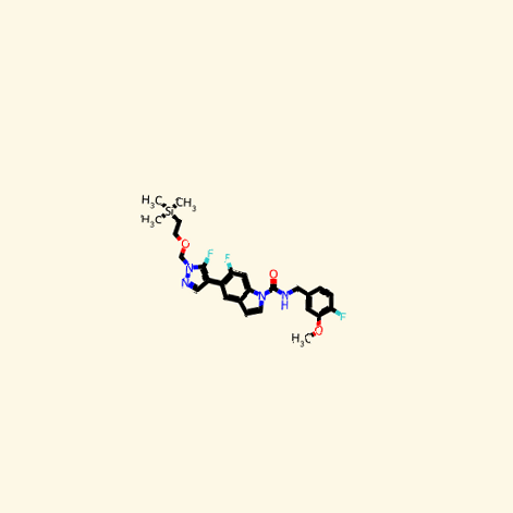 COc1cc(CNC(=O)n2ccc3cc(-c4cnn(COCC[Si](C)(C)C)c4F)c(F)cc32)ccc1F